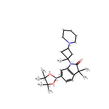 CC1(C)C(=O)N(C2(C)CC(N3CCCCC3)C2)c2cc(B3OC(C)(C)C(C)(C)O3)ccc21